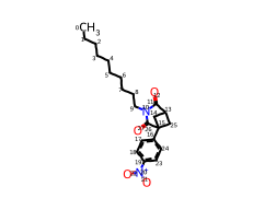 CCCCCCCCCCN1C(=O)C2CC(c3ccc([N+](=O)[O-])cc3)(C2)C1=O